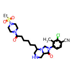 CCS(=O)(=O)N1CCN(C(=O)CCCCCC2CNCC3C(=O)N(c4ccc(C#N)c(Cl)c4C)CN23)CC1